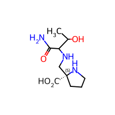 CC(O)C(NC[C@]1(C(=O)O)CCCN1)C(N)=O